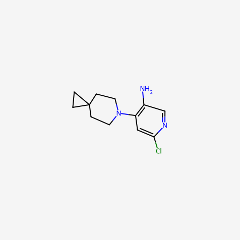 Nc1cnc(Cl)cc1N1CCC2(CC1)CC2